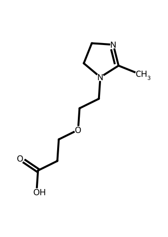 CC1=NCCN1CCOCCC(=O)O